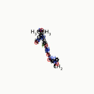 C=CC(=O)n1c2ccccc2c2cc(C(=O)NCCOCCn3cc(COc4ccc(CCc5nc6cc(-c7c(C)noc7C)ccc6n5C[C@@H](C)N5CCOCC5)cc4F)nn3)ccc21